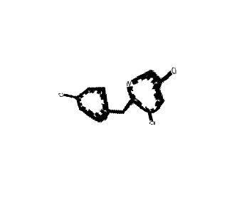 Clc1[c]c(Cl)c(Cc2ccc(Cl)cc2)nc1